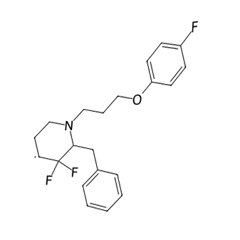 Fc1ccc(OCCCN2CC[CH]C(F)(F)C2Cc2ccccc2)cc1